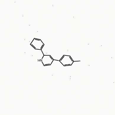 Cc1ccc(C2=CC(c3ccccc3)N[C]=C2)cc1